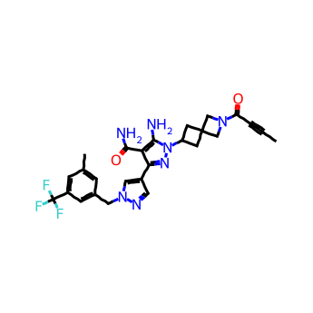 CC#CC(=O)N1CC2(CC(n3nc(-c4cnn(Cc5cc(C)cc(C(F)(F)F)c5)c4)c(C(N)=O)c3N)C2)C1